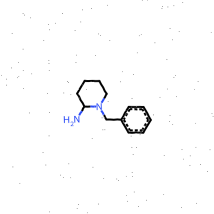 NC1CCCCN1Cc1ccccc1